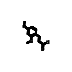 COc1ccc(C=CC(=O)Cl)c(OC)c1